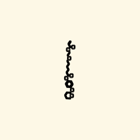 C=CC(=O)OCCOCCCCCC(=O)Oc1ccc(OC2CCCCO2)cc1